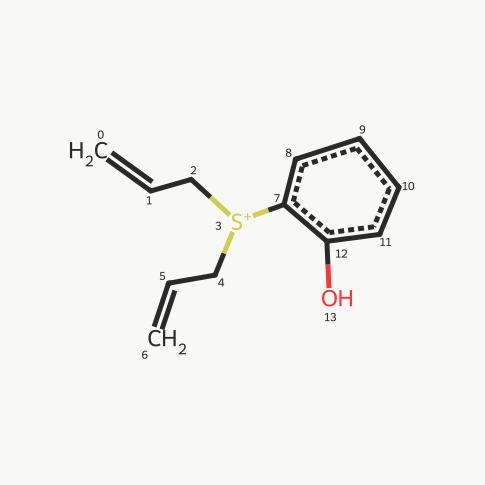 C=CC[S+](CC=C)c1ccccc1O